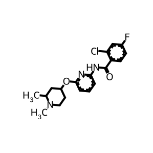 CC1CC(Oc2cccc(NC(=O)c3ccc(F)cc3Cl)n2)CCN1C